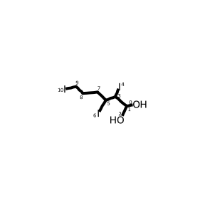 OC(O)C(I)C(I)CCCI